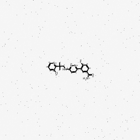 CC(C)(CNc1ccc(-c2cc(C(N)=O)ccc2F)nn1)c1ncccc1Cl